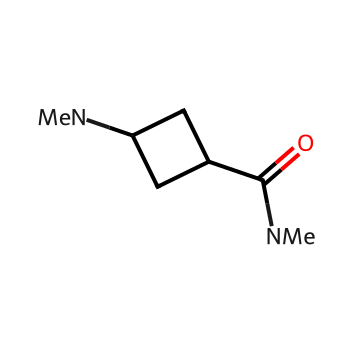 CNC(=O)C1CC(NC)C1